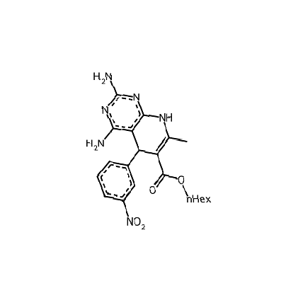 CCCCCCOC(=O)C1=C(C)Nc2nc(N)nc(N)c2C1c1cccc([N+](=O)[O-])c1